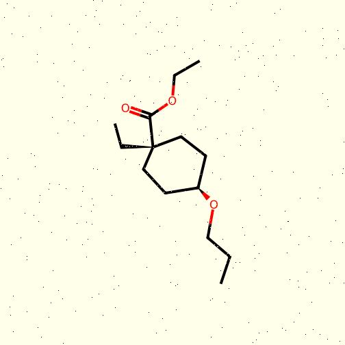 CCCO[C@H]1CC[C@](CC)(C(=O)OCC)CC1